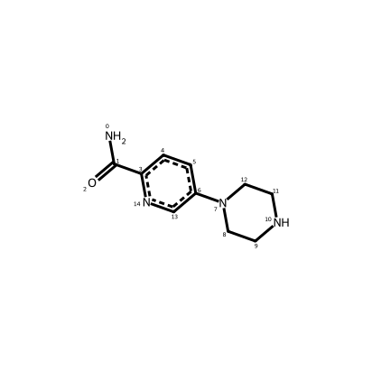 NC(=O)c1ccc(N2CCNCC2)cn1